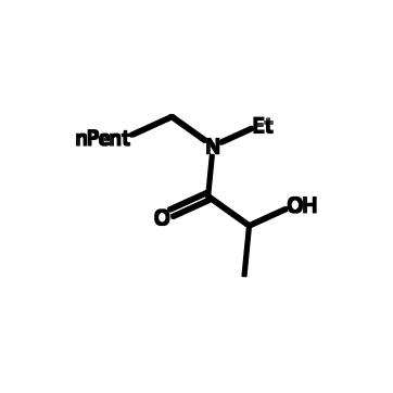 CCCCCCN(CC)C(=O)C(C)O